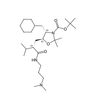 CC(C)[C@H](C[C@@H]1OC(C)(C)N(C(=O)OC(C)(C)C)[C@H]1CC1CCCCC1)C(=O)NCCCN(C)C